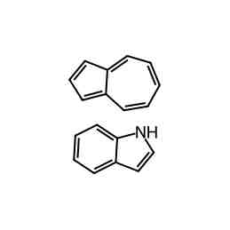 c1ccc2[nH]ccc2c1.c1ccc2cccc-2cc1